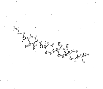 C=CCCOc1ccc(COC2CCC(c3ccc(C4CCC(C(C)O)CC4)c(F)c3F)CC2)c(F)c1F